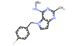 CCCCNc1nc(C)nc2ccn(Cc3ccc(F)cc3)c12